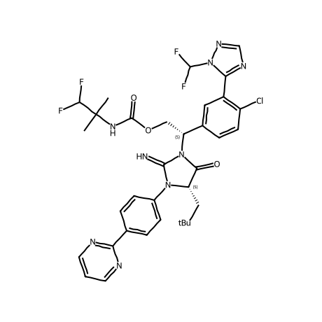 CC(C)(C)C[C@H]1C(=O)N([C@H](COC(=O)NC(C)(C)C(F)F)c2ccc(Cl)c(-c3ncnn3C(F)F)c2)C(=N)N1c1ccc(-c2ncccn2)cc1